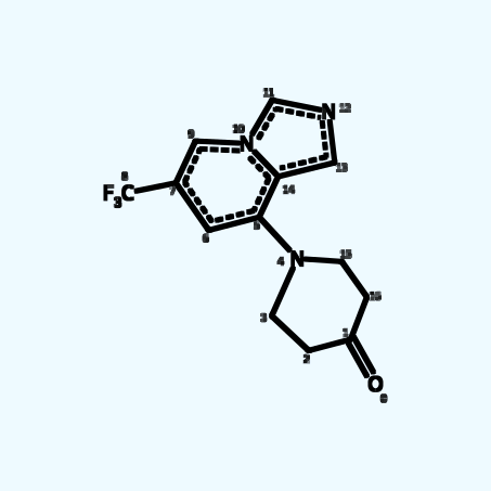 O=C1CCN(c2cc(C(F)(F)F)cn3cncc23)CC1